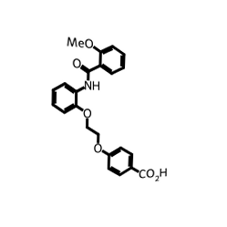 COc1ccccc1C(=O)Nc1ccccc1OCCOc1ccc(C(=O)O)cc1